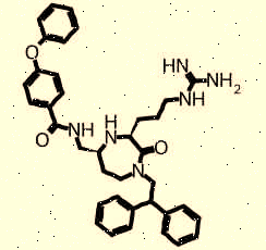 N=C(N)NCCC[C@@H]1N[C@H](CNC(=O)c2ccc(Oc3ccccc3)cc2)CCN(CC(c2ccccc2)c2ccccc2)C1=O